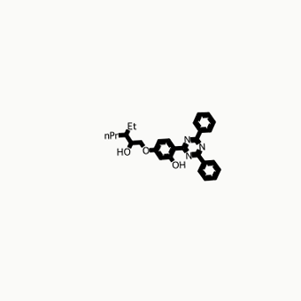 CCCC(CC)C(O)COc1ccc(-c2nc(-c3ccccc3)nc(-c3ccccc3)n2)c(O)c1